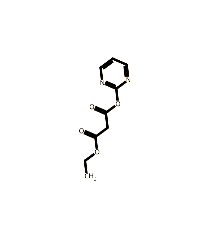 CCOC(=O)CC(=O)Oc1ncccn1